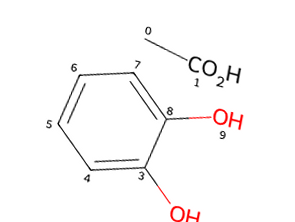 CC(=O)O.Oc1ccccc1O